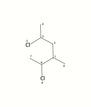 C[C](CC(C)Cl)C(C)Cl